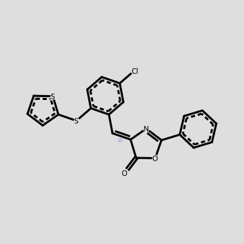 O=C1OC(c2ccccc2)=N/C1=C\c1cc(Cl)ccc1Sc1cccs1